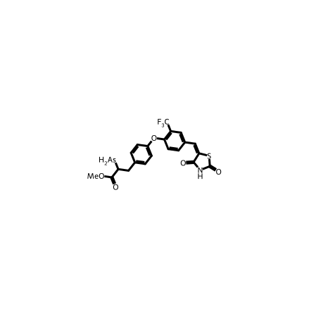 COC(=O)C([AsH2])Cc1ccc(Oc2ccc(C=C3SC(=O)NC3=O)cc2C(F)(F)F)cc1